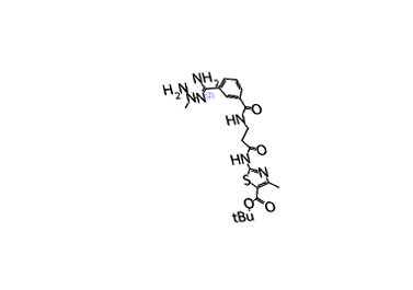 Cc1nc(NC(=O)CCNC(=O)c2cccc(/C(N)=N/N(C)N)c2)sc1C(=O)OC(C)(C)C